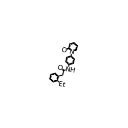 CCc1ccccc1CC(=O)Nc1ccc(-n2ccccc2=O)cc1